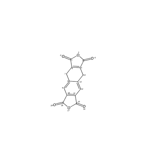 O=C1OC(=O)C2=C1Cc1cc3c(cc1C2)C(=O)OC3=O